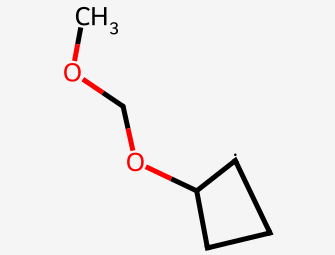 COCOC1[CH]CC1